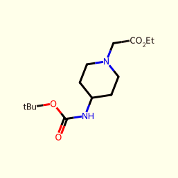 CCOC(=O)CN1CCC(NC(=O)OC(C)(C)C)CC1